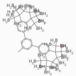 BC(B)(B)C1(C(B)(B)B)c2ccc(-c3cc(C)cc(-c4ccc5c(c4)C(C(B)(B)B)(C(B)(B)B)C(B)(B)C(B)(B)C5(C(B)(B)B)C(B)(B)B)c3)cc2C(C(B)(B)B)(C(B)(B)B)C(B)(B)C1(B)B